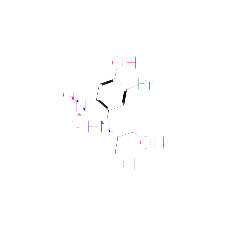 O=[N+]([O-])c1cc(O)c(Br)cc1NC(CO)CCl